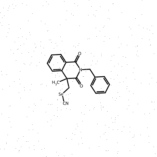 CC1(C[Se]C#N)C(=O)N(Cc2ccccc2)C(=O)c2ccccc21